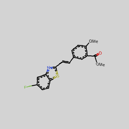 COC(=O)c1cc(/C=C/c2nc3cc(F)ccc3s2)ccc1OC